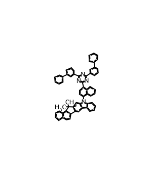 CC1(C)c2cc3c(cc2-c2ccc4ccccc4c21)c1ccccc1n3-c1ccc(-c2nc(-c3cccc(-c4ccccc4)c3)nc(-c3cccc(-c4ccccc4)c3)n2)c2ccccc12